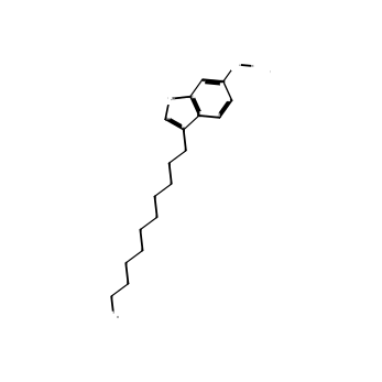 COc1ccc2c(CCCCCCCCCCO)c[nH]c2c1